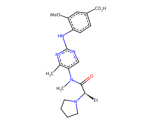 CC[C@H](C(=O)N(C)c1cnc(Nc2ccc(C(=O)O)cc2OC)nc1C)N1CCCC1